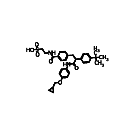 CC(C)(C)c1ccc(C(Cc2ccc(C(=O)NCCS(=O)(=O)O)cc2)C(=O)Nc2ccc(OCC3CC3)cc2)cc1